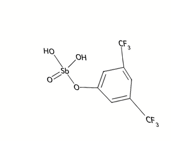 [O]=[Sb]([OH])([OH])[O]c1cc(C(F)(F)F)cc(C(F)(F)F)c1